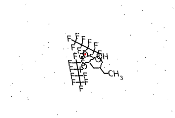 CCC(CO)CC(S(=O)(=O)C(F)(F)C(F)(F)C(F)(F)C(F)(F)F)S(=O)(=O)C(F)(F)C(F)(F)C(F)(F)C(F)(F)F